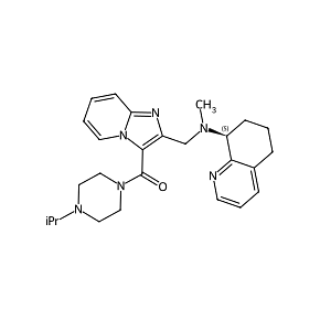 CC(C)N1CCN(C(=O)c2c(CN(C)[C@H]3CCCc4cccnc43)nc3ccccn23)CC1